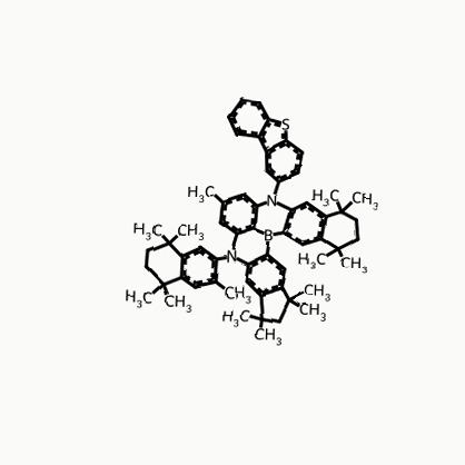 Cc1cc2c3c(c1)N(c1cc4c(cc1C)C(C)(C)CCC4(C)C)c1cc4c(cc1B3c1cc3c(cc1N2c1ccc2sc5ccccc5c2c1)C(C)(C)CCC3(C)C)C(C)(C)CC4(C)C